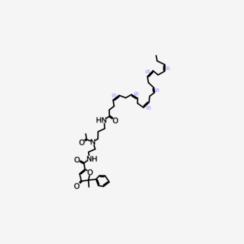 CC/C=C\C/C=C\C/C=C\C/C=C\C/C=C\C/C=C\CCC(=O)NCCCN(CCNC(=O)C1=CC(=O)C(C)(c2ccccc2)O1)C(C)=O